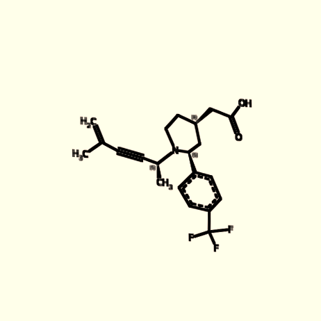 C=C(C)C#C[C@H](C)N1CC[C@@H](CC(=O)O)C[C@H]1c1ccc(C(F)(F)F)cc1